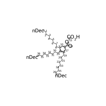 CCCCCCCCCCCCCCCCCCc1cc(C(=O)OCC(=O)O)cc(CCCCCCCCCCCCCCCCCC)c1CCCCCCCCCCCCCCCCCC